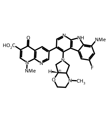 CNc1cc(F)cc2c1[nH]c1ncc(-c3cnc4c(c3)c(=O)c(C(=O)O)cn4NC)c(N3CC4[C@@H](C3)OCCN4C)c12